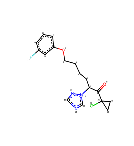 O=C(C(CCCCOc1cccc(F)c1)n1cncn1)C1(Cl)CC1